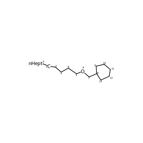 CCCCCCCCCCCCOCC1CCCCC1